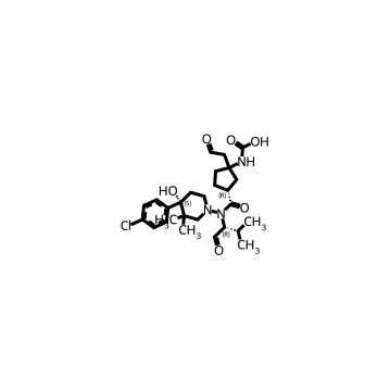 CC(C)[C@H](C=O)N(C(=O)[C@@H]1CCC(CC=O)(NC(=O)O)C1)N1CC[C@](O)(c2ccc(Cl)cc2)C(C)(C)C1